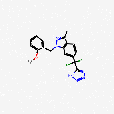 Cc1nn(Cc2ccccc2OC(F)(F)F)c2cc(C(F)(F)c3nnn[nH]3)ccc12